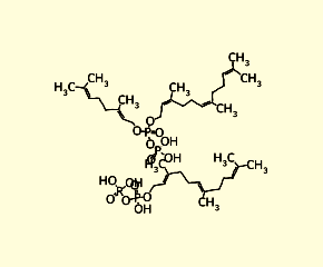 CC(C)=CCCC(C)=CCCC(C)=CCOP(=O)(O)OP(=O)(O)O.CC(C)=CCCC(C)=CCCC(C)=CCOP(=O)(OC/C=C(\C)CCC=C(C)C)OP(=O)(O)O